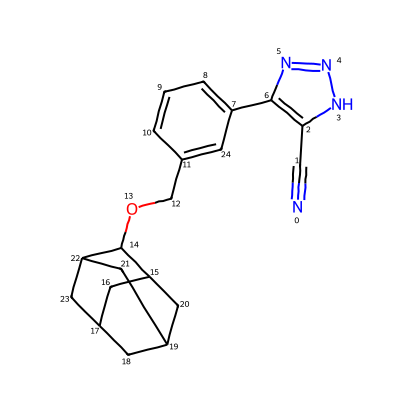 N#Cc1[nH]nnc1-c1cccc(COC2C3CC4CC(C3)CC2C4)c1